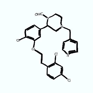 O=CN1CCN(Cc2ccncc2)CC1c1ccc(Cl)c(OCCc2ccc(Cl)cc2Cl)c1